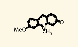 COc1ccc2cc3ccc(=O)cc-3n(C)c2c1